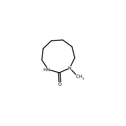 CN1CCCCCCNC1=O